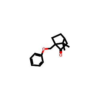 CC1(C)C2CCC1(COc1ccccc1)C(=O)C2